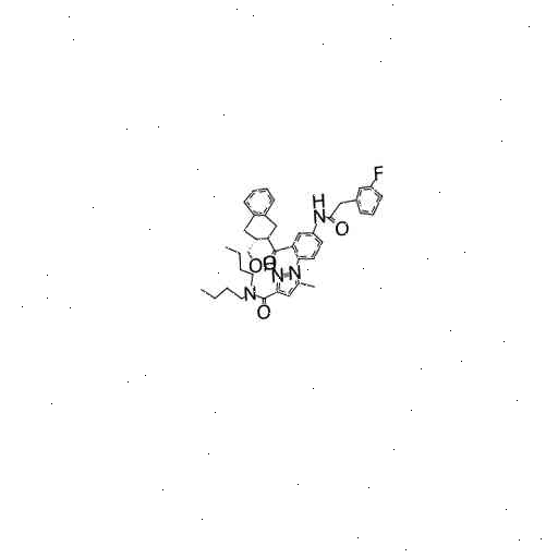 CCCCN(CCCC)C(=O)c1cc(C)n(-c2ccc(NC(=O)Cc3cccc(F)c3)cc2C(=O)C2Cc3ccccc3C[C@H]2CO)n1